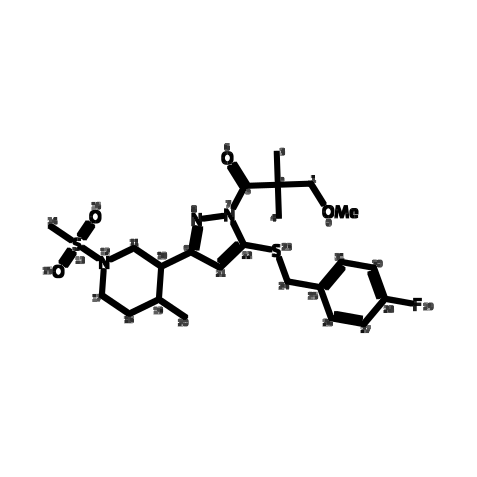 COCC(C)(C)C(=O)n1nc(C2CN(S(C)(=O)=O)CCC2C)cc1SCc1ccc(F)cc1